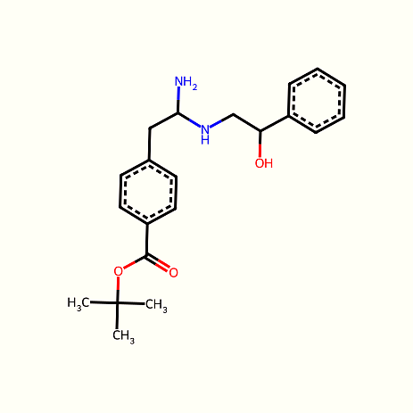 CC(C)(C)OC(=O)c1ccc(CC(N)NCC(O)c2ccccc2)cc1